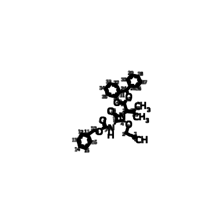 C#CCO[C@@H]1[C@H](NC(=O)OCc2ccccc2)C(=O)N1C(C(=O)OC(c1ccccc1)c1ccccc1)=C(C)C